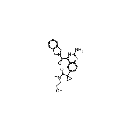 CN(CCO)C(=O)C1(c2ccc3nc(N)nc(C(=O)N4Cc5ccccc5C4)c3c2)CC1